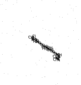 CN1Cc2c(Cl)cc(Cl)cc2C(c2cccc(S(=O)(=O)NCCOCCOCCOCCNC(=O)C(O)C(O)C(=O)NCCOCCOCCOCCNS(=O)(=O)C3CCCC([C@@H]4CN(C)Cc5c(Cl)cc(Cl)cc54)C3)c2)C1